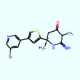 CC1C(=N)N[C@](C)(c2cc(-c3cncc(Br)c3)cs2)CC1=O